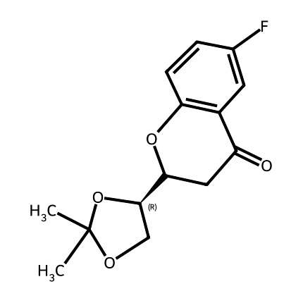 CC1(C)OC[C@H](C2CC(=O)c3cc(F)ccc3O2)O1